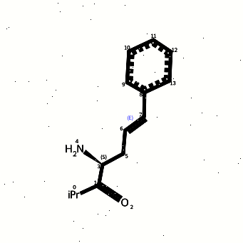 CC(C)C(=O)[C@@H](N)C/C=C/c1ccccc1